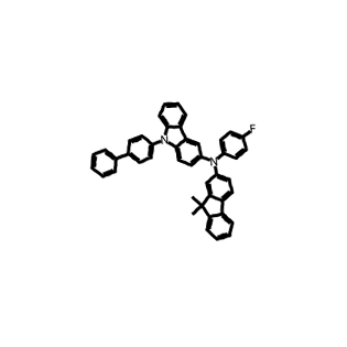 CC1(C)c2ccccc2-c2ccc(N(c3ccc(F)cc3)c3ccc4c(c3)c3ccccc3n4-c3ccc(-c4ccccc4)cc3)cc21